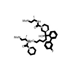 CNC[C@H](C)NC(=O)N1CCCCC1.CNC[C@H](C)NC(=O)N1CCC[C@@H]([C@@](O)(CCCCOC)c2ccccc2-c2cccc(F)c2)C1